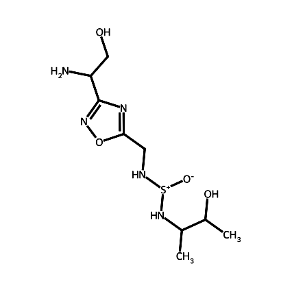 CC(O)C(C)N[S+]([O-])NCc1nc(C(N)CO)no1